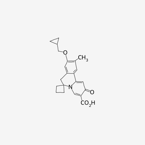 Cc1cc2c(cc1OCC1CC1)CC1(CCC1)n1cc(C(=O)O)c(=O)cc1-2